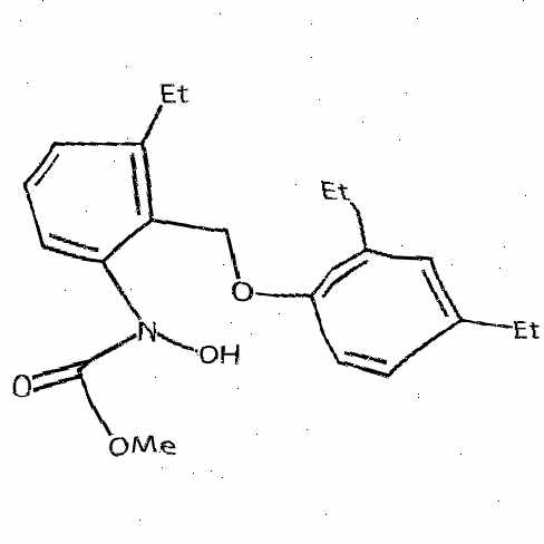 CCc1ccc(OCc2c(CC)cccc2N(O)C(=O)OC)c(CC)c1